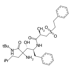 CC(C)CCC(N)(C(=O)NC(C)(C)C)[C@H](O)[C@H](Cc1ccccc1)NC(=O)[C@@H](C)CS(=O)(=O)CCc1ccccc1